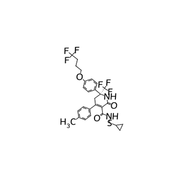 Cc1ccc(C2=C(C(=O)NSC3CC3)C(=O)N[C@@](c3ccc(OCCCC(F)(F)F)cc3)(C(F)(F)F)C2)cc1